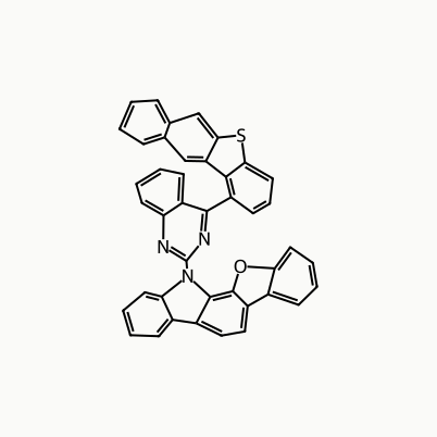 c1ccc2cc3c(cc2c1)sc1cccc(-c2nc(-n4c5ccccc5c5ccc6c7ccccc7oc6c54)nc4ccccc24)c13